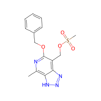 Cc1nc(OCc2ccccc2)c(COS(C)(=O)=O)c2nn[nH]c12